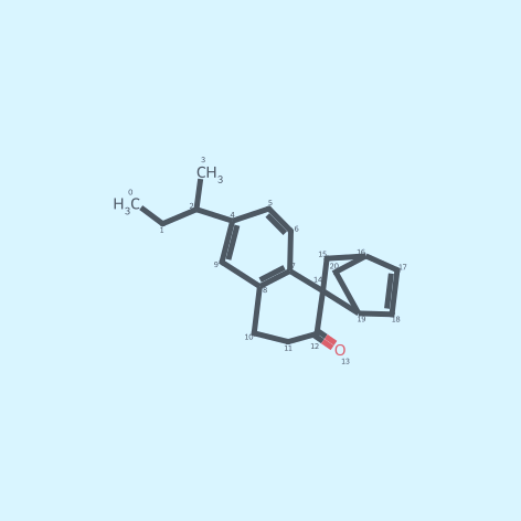 CCC(C)c1ccc2c(c1)CCC(=O)C21CC2C=CC1C2